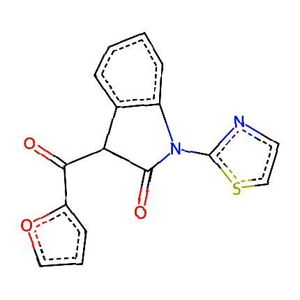 O=C(c1ccco1)C1C(=O)N(c2nccs2)c2ccccc21